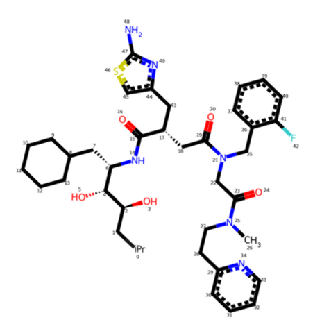 CC(C)C[C@H](O)[C@H](O)[C@H](CC1CCCCC1)NC(=O)[C@@H](CC(=O)N(CC(=O)N(C)CCc1ccccn1)Cc1ccccc1F)Cc1csc(N)n1